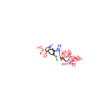 Cn1cc(C(=O)O)c(=O)c2cc(F)c(NCCCC(P(=O)(O)O)P(=O)(O)O)cc21